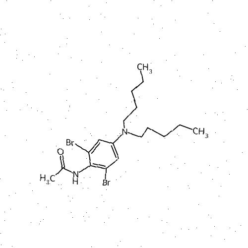 CCCCCN(CCCCC)c1cc(Br)c(NC(C)=O)c(Br)c1